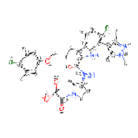 Cc1cc(OCCCc2c(C(=O)N[C@H]3CCN(C(=O)C(=O)O)C3)[nH]c3c(-c4c(C)nn(C)c4C)c(Cl)ccc23)cc(C)c1Cl